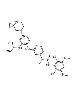 C=CC(O)Nc1cc(N2CCNC3(CC3)C2)ccc1Nc1cc(N(C)C(=O)Nc2c(Cl)c(OC)cc(OC)c2Cl)ncn1